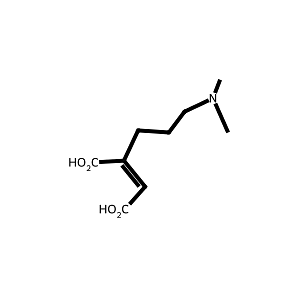 CN(C)CCC/C(=C/C(=O)O)C(=O)O